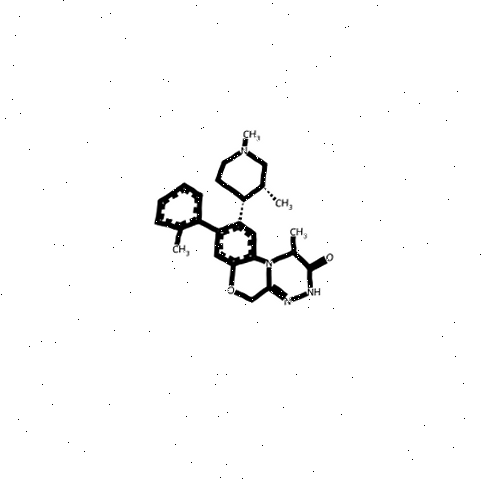 Cc1ccccc1-c1cc2c(cc1[C@@H]1CCN(C)C[C@@H]1C)N1C(=NNC(=O)C1C)CO2